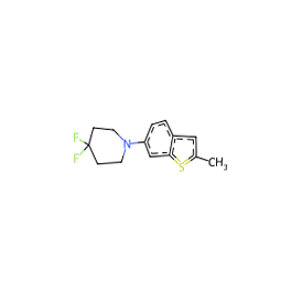 Cc1cc2ccc(N3CCC(F)(F)CC3)cc2s1